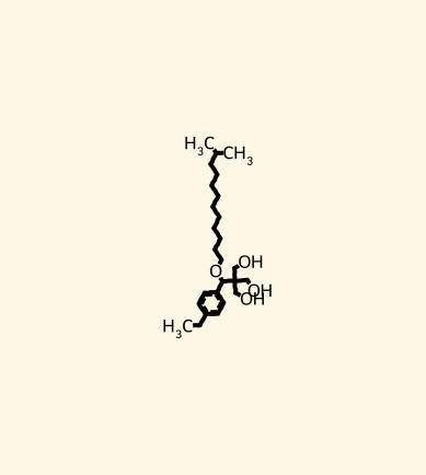 CCc1ccc(C(OCCCCCCCCCCC(C)C)C(CO)(CO)CO)cc1